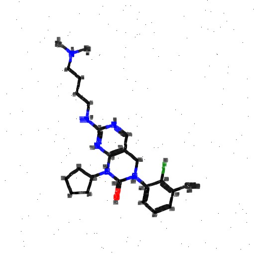 CCN(CC)CCCCNc1ncc2c(n1)N(C1CCCC1)C(=O)N(c1cccc(OC)c1F)C2